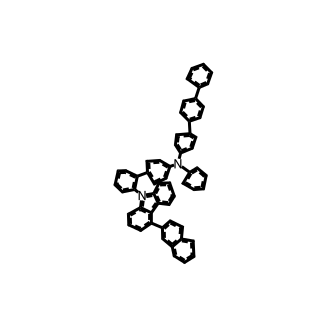 c1ccc(-c2ccc(-c3ccc(N(c4ccccc4)c4ccc(-c5ccccc5-n5c6ccccc6c6c(-c7ccc8ccccc8c7)cccc65)cc4)cc3)cc2)cc1